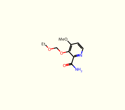 CCOCOc1c(OC)ccnc1C(N)=O